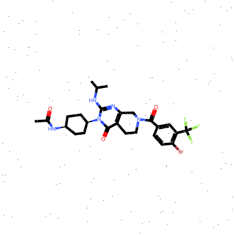 CC(=O)N[C@H]1CC[C@@H](n2c(NC(C)C)nc3c(c2=O)CCN(C(=O)c2ccc(Br)c(C(F)(F)F)c2)C3)CC1